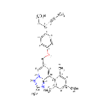 CC#C[C@@H](CC(=O)O)c1ccc(OCc2cc(-c3c(C)cc(OC)cc3C)c3nc(C(C)C)nn3c2)cc1